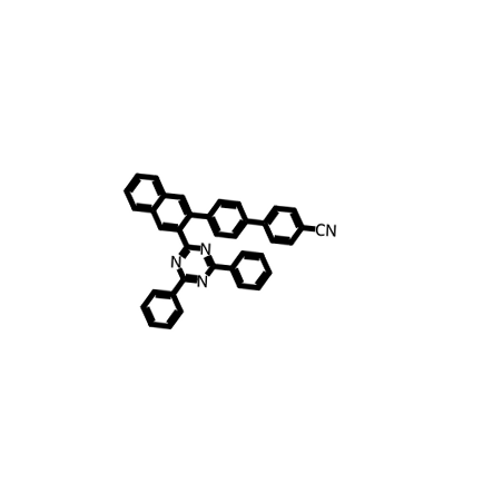 N#Cc1ccc(-c2ccc(-c3cc4ccccc4cc3-c3nc(-c4ccccc4)nc(-c4ccccc4)n3)cc2)cc1